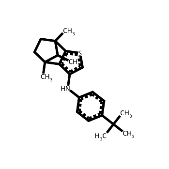 CC1C2(C)CCC1(C)c1c(Nc3ccc(C(C)(C)C)cc3)csc12